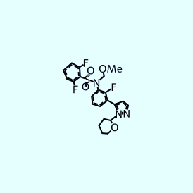 COCN(c1cccc(-c2ccnn2C2CCCCO2)c1F)S(=O)(=O)c1c(F)cccc1F